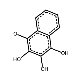 [O]c1c(O)c(O)c(O)c2ccccc12